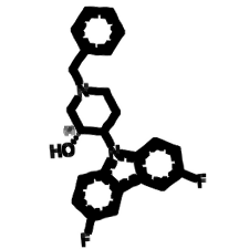 O[C@@H]1CN(Cc2ccccc2)CCC1n1c2ccc(F)cc2c2cc(F)ccc21